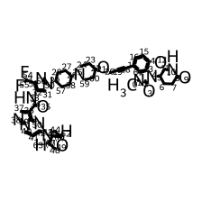 Cn1c(=O)n(C2CCC(=O)NC2=O)c2cccc(C#CCOC3CCN([C@H]4CC[C@@H](n5cc(NC(=O)c6cnn7ccc(N8C[C@H]9C[C@@H]8CO9)nc67)c(C(F)F)n5)CC4)CC3)c21